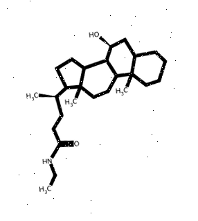 CCNC(=O)CC[C@@H](C)C1CCC2C3C(CCC21C)C1(C)CCCCC1C[C@@H]3O